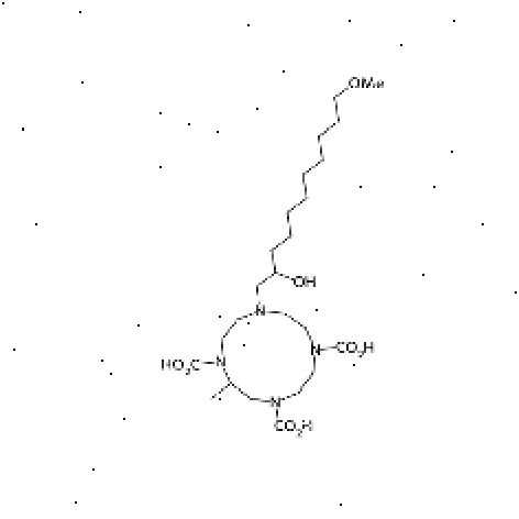 COCCCCCCCCCC(O)CN1CCN(C(=O)O)CCN(C(=O)O)CC(C)N(C(=O)O)CC1